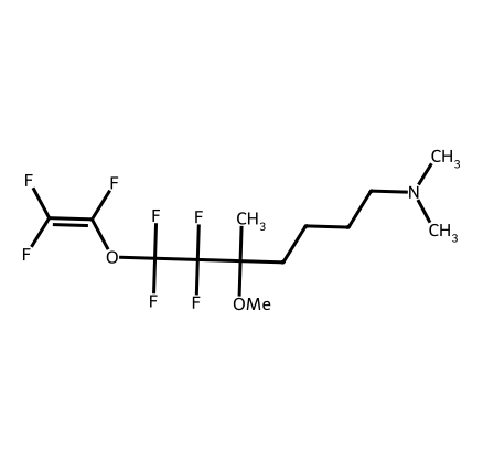 COC(C)(CCCCN(C)C)C(F)(F)C(F)(F)OC(F)=C(F)F